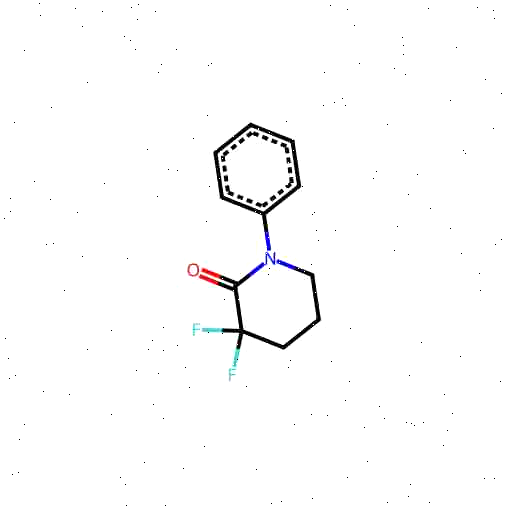 O=C1N(c2ccccc2)CCCC1(F)F